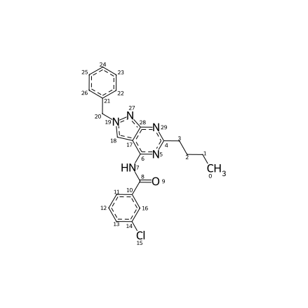 CCCCc1nc(NC(=O)c2cccc(Cl)c2)c2cn(Cc3ccccc3)nc2n1